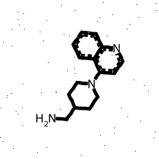 NCC1CCN(c2ccnc3ccccc23)CC1